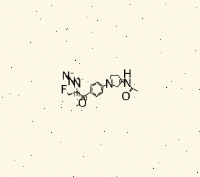 CO[C@H](c1ccc(N2CC[C@@H](NC(C)=O)C2)cc1)[C@@H](CF)N=[N+]=[N-]